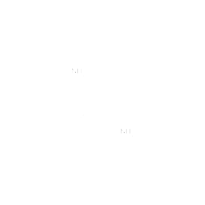 NCC1OCC(N)CO1